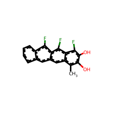 Cc1c(O)c(O)c(F)c2c(F)c3c(F)c4ccccc4cc3cc12